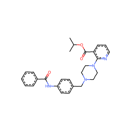 CC(C)OC(=O)c1cccnc1N1CCN(Cc2ccc(NC(=O)c3ccccc3)cc2)CC1